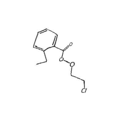 CCc1ccccc1C(=O)OOCCCl